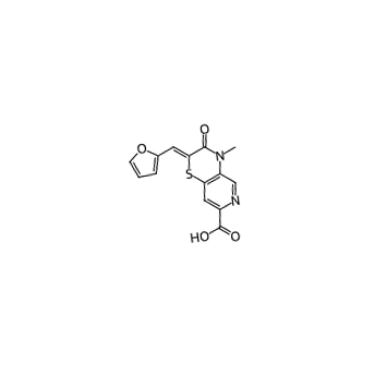 CN1C(=O)C(=Cc2ccco2)Sc2cc(C(=O)O)ncc21